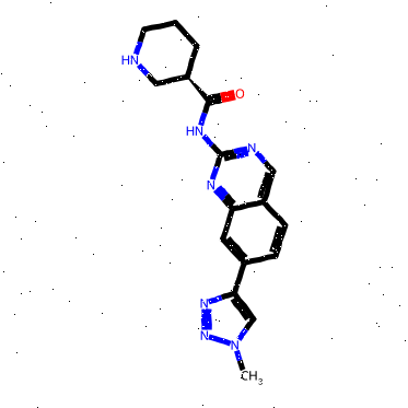 Cn1cc(-c2ccc3cnc(NC(=O)[C@@H]4CCCNC4)nc3c2)nn1